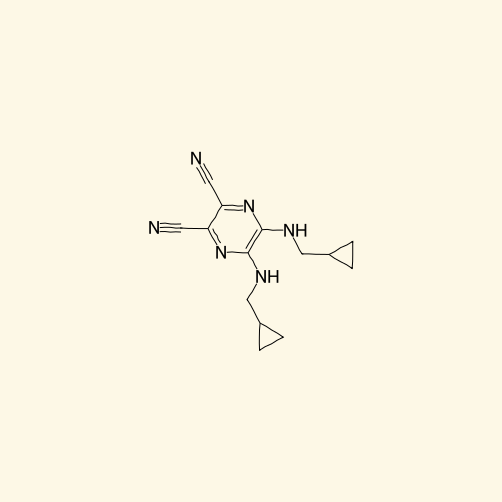 N#Cc1nc(NCC2CC2)c(NCC2CC2)nc1C#N